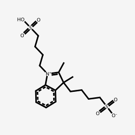 CC1=[N+](CCCCS(=O)(=O)O)c2ccccc2C1(C)CCCCS(=O)(=O)[O-]